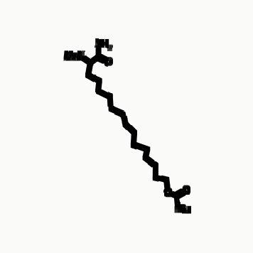 CCCCC(=O)OCCCCCCCCCCCCCCC(NC)C(N)=O